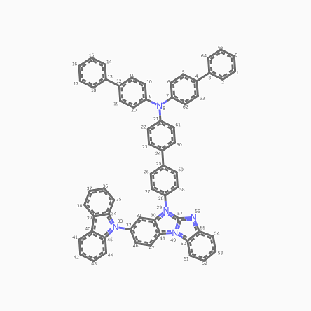 c1ccc(-c2ccc(N(c3ccc(-c4ccccc4)cc3)c3ccc(-c4ccc(-n5c6cc(-n7c8ccccc8c8ccccc87)ccc6n6c7ccccc7nc56)cc4)cc3)cc2)cc1